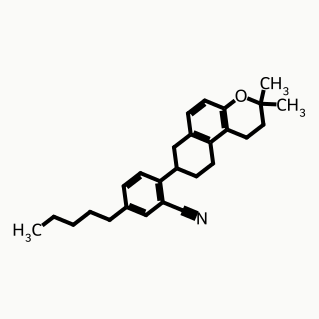 CCCCCc1ccc(C2CCc3c(ccc4c3CCC(C)(C)O4)C2)c(C#N)c1